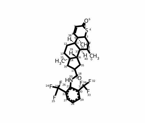 CC1CC2SC(=O)C=C[C@]2(C)[C@@H]2CC[C@]3(C)CC(C(=O)Nc4c(C(F)(F)F)cccc4C(F)(F)F)C[C@H]3[C@H]12